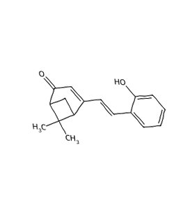 CC1(C)C2CC1C(C=Cc1ccccc1O)=CC2=O